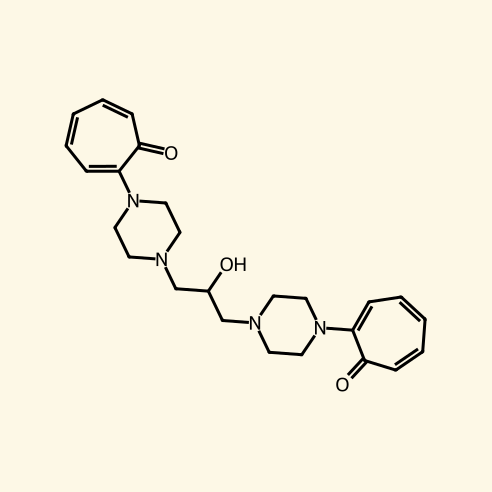 O=c1cccccc1N1CCN(CC(O)CN2CCN(c3cccccc3=O)CC2)CC1